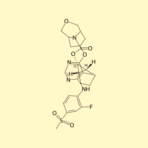 Cc1c(Nc2ccc(S(C)(=O)=O)cc2F)ncnc1OC1CC2COCC(C1)N2C(=O)O[C@@H]1[C@@H]2CCC[C@@H]21